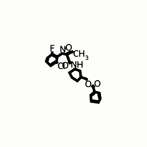 Cc1onc(-c2c(F)cccc2Cl)c1C(=O)NC1CCCC(COC(=O)c2ccccc2)C1